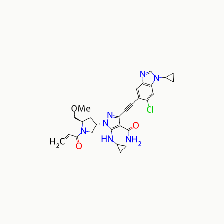 C=CC(=O)N1C[C@@H](n2nc(C#Cc3cc4ncn(C5CC5)c4cc3Cl)c(C(N)=O)c2NC2CC2)C[C@@H]1COC